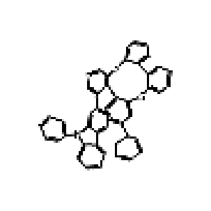 C1=CCC(c2ccc3c(c2)Sc2ccccc2-c2ccccc2Sc2cccc(-c4ccc5c6ccccc6n(-c6ccccc6)c5c4)c2-3)C=C1